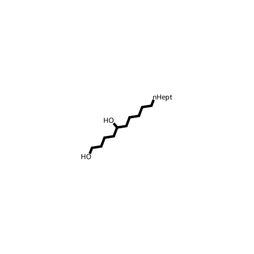 CCCCCCCCCCCCC(O)CCCCO